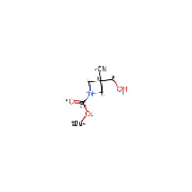 CC(C)(C)OC(=O)N1CC(C#N)(CO)C1